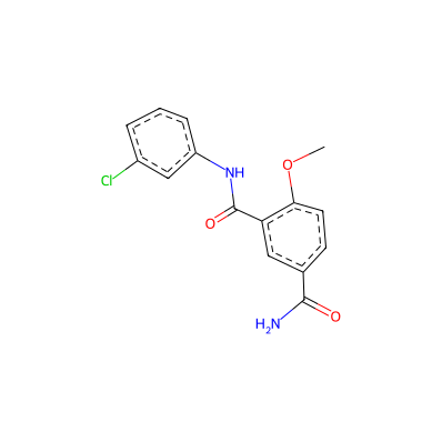 COc1ccc(C(N)=O)cc1C(=O)Nc1cccc(Cl)c1